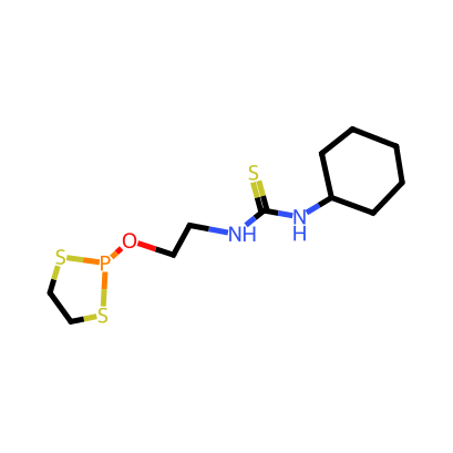 S=C(NCCOP1SCCS1)NC1CCCCC1